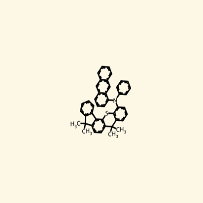 CC1(C)c2cccc(N(c3ccccc3)c3cccc4cc5ccccc5cc34)c2Sc2c1ccc1c2-c2ccccc2C1(C)C